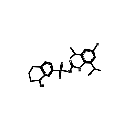 CC(C)c1cc(Br)cc(C(C)C)c1NC(=O)NS(=O)(=O)c1ccc2c(c1)C(O)CCC2